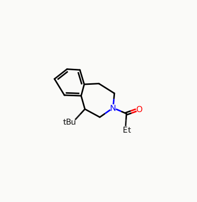 CCC(=O)N1CCc2ccccc2C(C(C)(C)C)C1